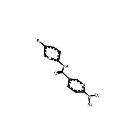 CCN(CC)c1ccc(C(=O)Nc2ccc(F)cc2)cn1